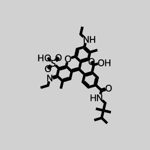 CC/N=c1\c(C)cc2c(-c3ccc(C(=O)NCC(C)(C)C(C)C)cc3C(=O)O)c3cc(C)c(NCC)cc3oc-2c1S(=O)(=O)O